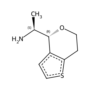 C[C@H](N)[C@@H]1OCCc2sccc21